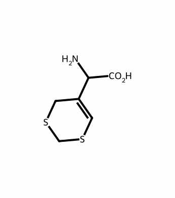 NC(C(=O)O)C1=CSCSC1